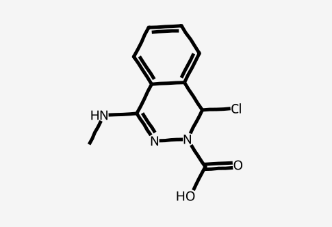 CNC1=NN(C(=O)O)C(Cl)c2ccccc21